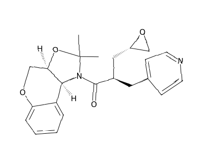 CC1(C)O[C@@H]2COc3ccccc3[C@@H]2N1C(=O)[C@H](Cc1ccncc1)C[C@H]1CO1